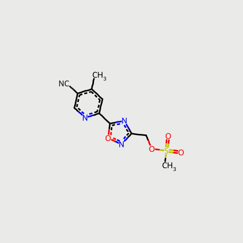 Cc1cc(-c2nc(COS(C)(=O)=O)no2)ncc1C#N